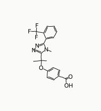 Cn1c(-c2ccccc2C(F)(F)F)nnc1C(C)(C)Oc1ccc(C(=O)O)cc1